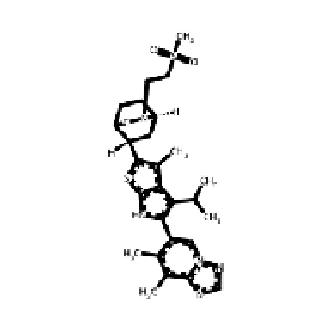 Cc1c(-c2[nH]c3sc([C@H]4C[C@@H]5CCC4CN5CCS(C)(=O)=O)c(C)c3c2C(C)C)cn2ncnc2c1C